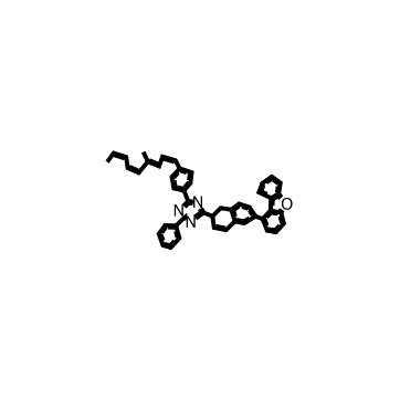 C\C=C/C=C\C(C)=C\C=C/c1ccc(-c2nc(-c3ccccc3)nc(C3C=Cc4cc(-c5cccc6oc7ccccc7c56)ccc4C3)n2)cc1